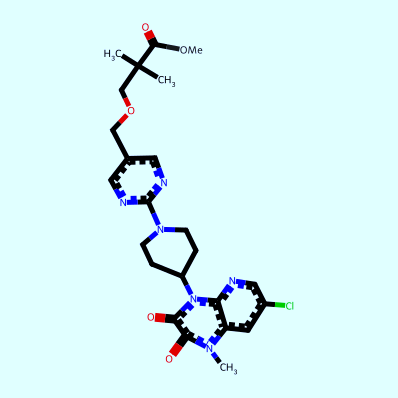 COC(=O)C(C)(C)COCc1cnc(N2CCC(n3c(=O)c(=O)n(C)c4cc(Cl)cnc43)CC2)nc1